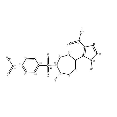 C[C@H]1CCC(c2c([N+](=O)[O-])cnn2C)OCN1S(=O)(=O)c1ccc([N+](=O)[O-])cc1